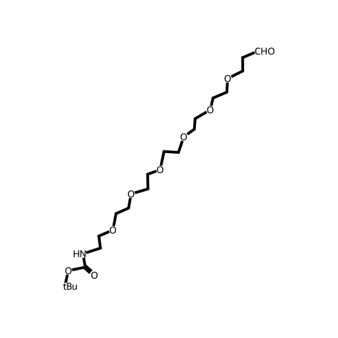 CC(C)(C)OC(=O)NCCOCCOCCOCCOCCOCCOCCC=O